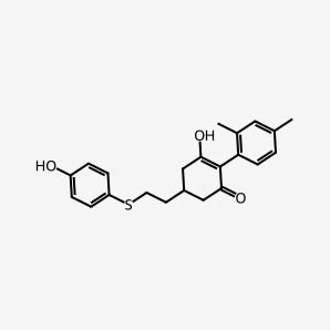 Cc1ccc(C2=C(O)CC(CCSc3ccc(O)cc3)CC2=O)c(C)c1